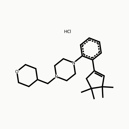 CC1(C)C=C(c2ccccc2N2CCN(CC3CCOCC3)CC2)CC1(C)C.Cl